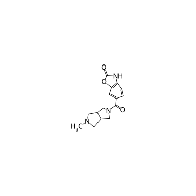 CN1CC2CN(C(=O)c3ccc4[nH]c(=O)oc4c3)CC2C1